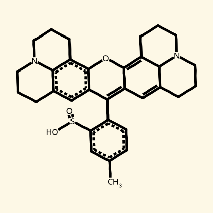 Cc1ccc(C2=C3C=C4CCCN5CCCC(=C3Oc3c2cc2c6c3CCCN6CCC2)C45)c(S(=O)O)c1